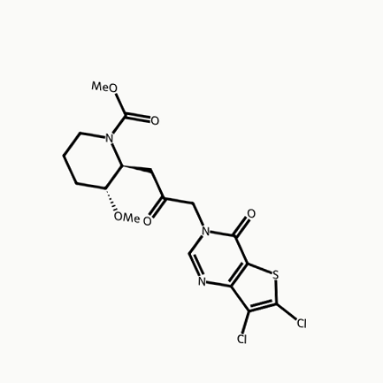 COC(=O)N1CCC[C@@H](OC)[C@@H]1CC(=O)Cn1cnc2c(Cl)c(Cl)sc2c1=O